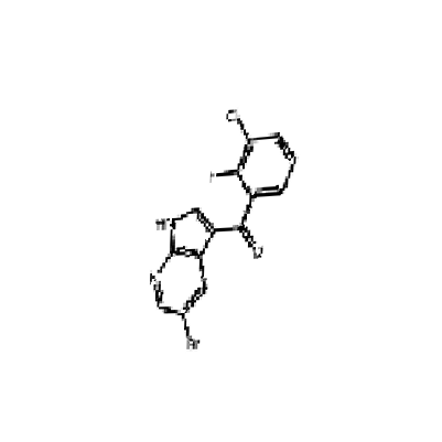 O=C(c1cccc(Cl)c1F)c1c[nH]c2ncc(Br)cc12